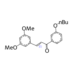 CCCCOc1cccc(C(=O)/C=C/c2cc(OC)cc(OC)c2)c1